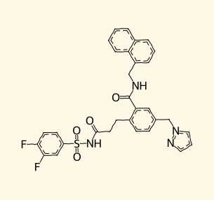 O=C(CCc1ccc(Cn2cccn2)cc1C(=O)NCc1cccc2ccccc12)NS(=O)(=O)c1ccc(F)c(F)c1